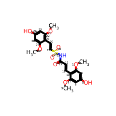 COc1cc(O)cc(OC)c1/C=C/C(=O)NS(=O)(=O)/C=C/c1c(OC)cc(O)cc1OC